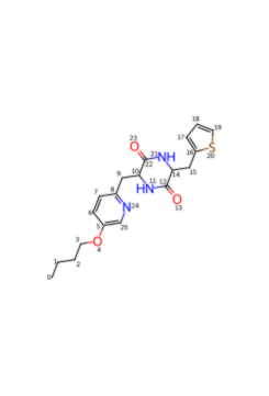 CCCCOc1ccc(CC2NC(=O)C(Cc3cccs3)NC2=O)nc1